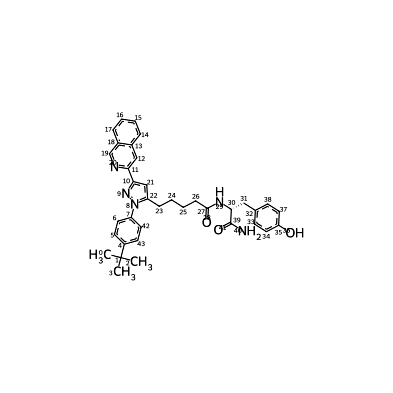 CC(C)(C)c1ccc(-n2nc(-c3cc4ccccc4cn3)cc2CCCCC(=O)N[C@H](Cc2ccc(O)cc2)C(N)=O)cc1